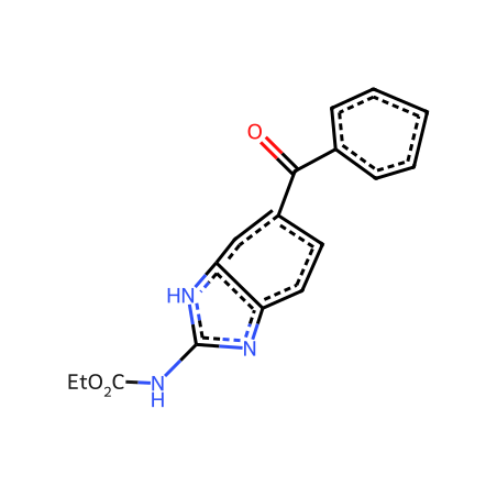 CCOC(=O)Nc1nc2ccc(C(=O)c3ccccc3)cc2[nH]1